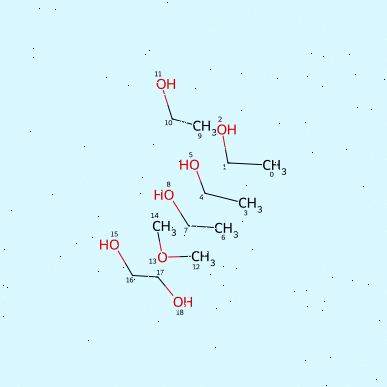 CCO.CCO.CCO.CCO.COC.OCCO